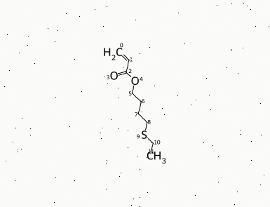 C=CC(=O)OCCCCSCC